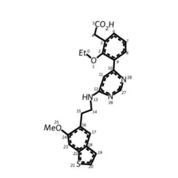 CCOc1c(CC(=O)O)cccc1-c1cc(NCCc2cc3ccsc3cc2OC)ncn1